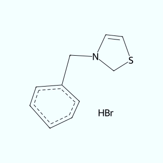 Br.C1=CN(Cc2ccccc2)CS1